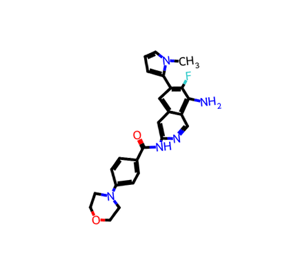 Cn1cccc1-c1cc2cc(NC(=O)c3ccc(N4CCOCC4)cc3)ncc2c(N)c1F